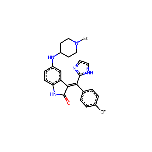 CCN1CCC(Nc2ccc3c(c2)C(=C(c2ccc(C(F)(F)F)cc2)c2ncc[nH]2)C(=O)N3)CC1